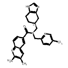 Cc1cc2cc(C(=O)N(Cc3ccc(C(F)(F)F)cn3)C[C@H]3CCc4[nH]cnc4C3)ccc2nc1N